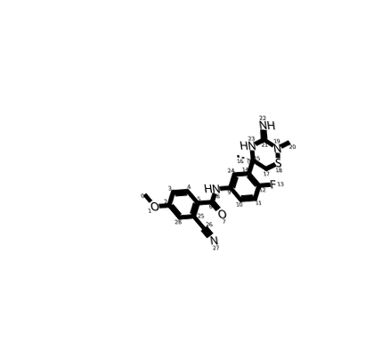 COc1ccc(C(=O)Nc2ccc(F)c([C@]3(C)CSN(C)C(=N)N3)c2)c(C#N)c1